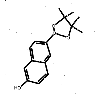 CC1(C)OB(c2ccc3cc(O)ccc3c2)OC1(C)I